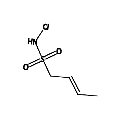 C/C=C/CS(=O)(=O)NCl